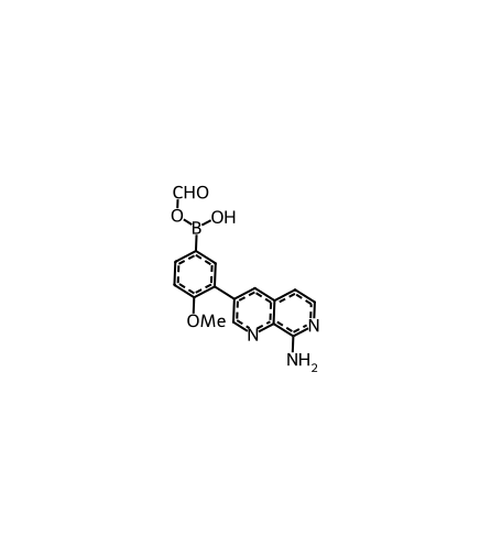 COc1ccc(B(O)OC=O)cc1-c1cnc2c(N)nccc2c1